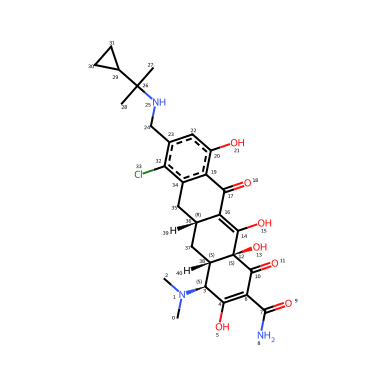 CN(C)[C@@H]1C(O)=C(C(N)=O)C(=O)[C@@]2(O)C(O)=C3C(=O)c4c(O)cc(CNC(C)(C)C5CC5)c(Cl)c4C[C@H]3C[C@@H]12